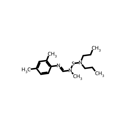 CCCN(CCC)SN(C)C=Nc1ccc(C)cc1C